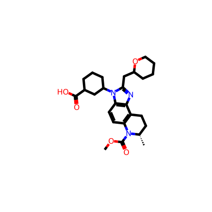 COC(=O)N1c2ccc3c(nc(CC4CCCCO4)n3C3CCCC(C(=O)O)C3)c2CC[C@@H]1C